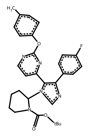 Cc1ccc(Oc2nccc(-c3c(-c4ccc(F)cc4)ncn3C3CCCCN3C(=O)OC(C)(C)C)n2)cc1